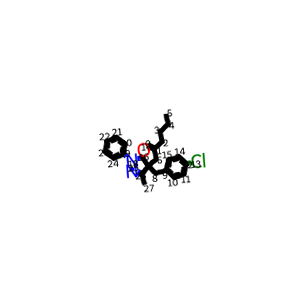 C=C(CCCC)CC1(Cc2ccc(Cl)cc2)C(=O)N(c2ccccc2)N=C1C